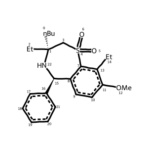 CCCC[C@]1(CC)CS(=O)(=O)c2c(ccc(OC)c2CC)[C@@H](c2ccccc2)N1